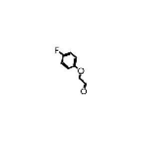 O=CCOc1ccc(F)cc1